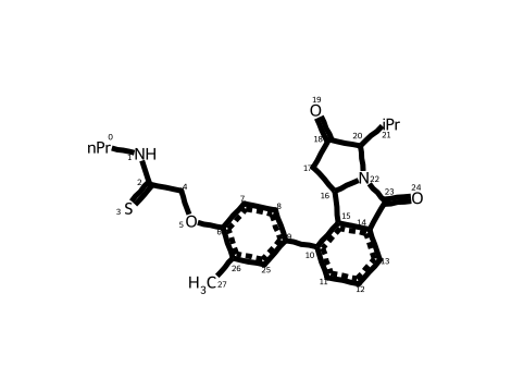 CCCNC(=S)COc1ccc(-c2cccc3c2C2CC(=O)C(C(C)C)N2C3=O)cc1C